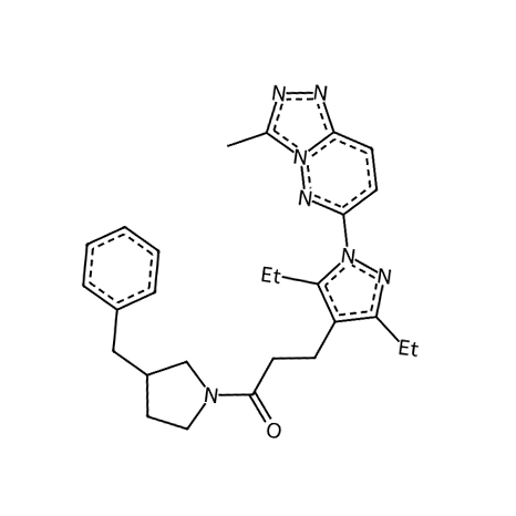 CCc1nn(-c2ccc3nnc(C)n3n2)c(CC)c1CCC(=O)N1CCC(Cc2ccccc2)C1